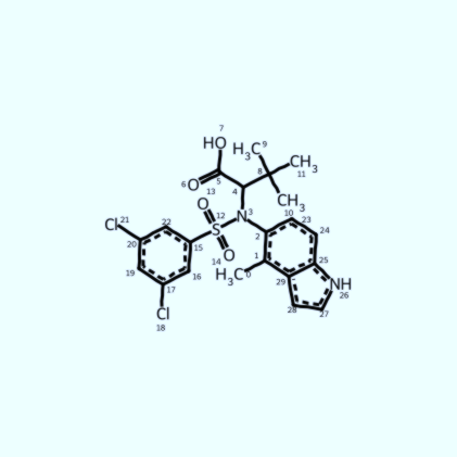 Cc1c(N(C(C(=O)O)C(C)(C)C)S(=O)(=O)c2cc(Cl)cc(Cl)c2)ccc2[nH]ccc12